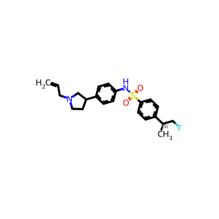 C=CCN1CCC(c2ccc(NS(=O)(=O)c3ccc([C@H](C)CF)cc3)cc2)C1